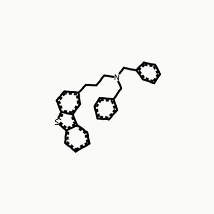 c1ccc(CN(CCCc2ccc3sc4ccccc4c3c2)Cc2ccccc2)cc1